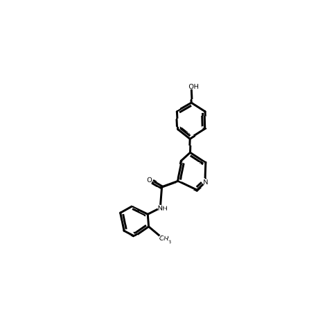 Cc1ccccc1NC(=O)c1cncc(-c2ccc(O)cc2)c1